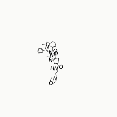 Cc1cc2c3n1C(c1ccccc1)=CN(n1c(C)nc4cc(C(=O)NCCCN5CCOCC5)ccc4c1=O)C(=O)C3=CCC2